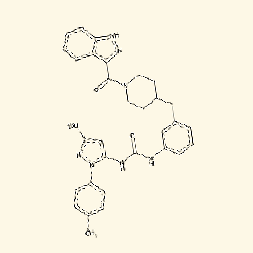 Cc1ccc(-n2nc(C(C)(C)C)cc2NC(=O)Nc2cccc(CC3CCN(C(=O)c4n[nH]c5ccccc45)CC3)c2)cc1